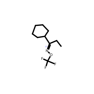 CC/C(=N\OC(F)(F)F)C1CCCCC1